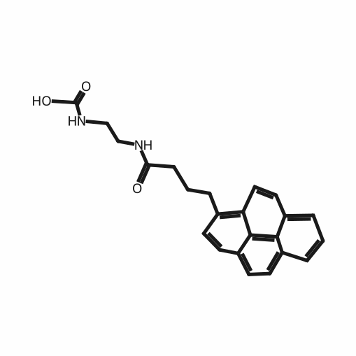 O=C(O)NCCNC(=O)CCCc1ccc2ccc3cccc4ccc1c2c34